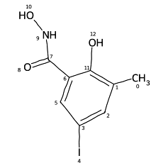 Cc1cc(I)cc(C(=O)NO)c1O